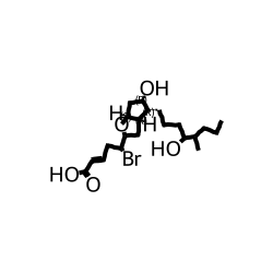 CCCC(C)C(O)CCC[C@@H]1[C@H]2CC(C(Br)CC=CC(=O)O)O[C@H]2C[C@H]1O